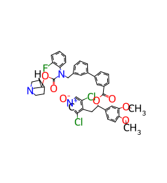 COc1ccc(C(Cc2c(Cl)c[n+]([O-])cc2Cl)OC(=O)c2cccc(-c3cccc(CN(C(=O)O[C@H]4CN5CCC4CC5)c4ccccc4F)c3)c2)cc1OC